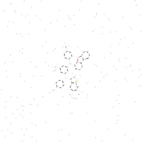 CC(C)(C)c1ccc(N(c2cc(N(c3ccc(C(C)(C)C)cc3)c3cccc4c3oc3ccccc34)cc(C(C)(C)C)c2)c2csc3cc4c(cc23)C(C)(C)CCC4(C)C)cc1